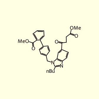 CCCCc1nc2ccc(C(=O)CCC(=O)OC)cc2n1Cc1ccc(-c2ccccc2C(=O)OC)cc1